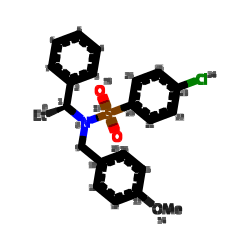 CC[C@@H](c1ccccc1)N(Cc1ccc(OC)cc1)S(=O)(=O)c1ccc(Cl)cc1